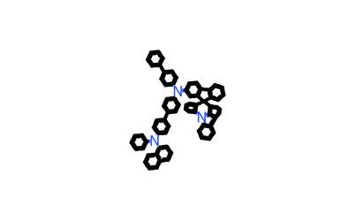 c1ccc(-c2ccc(N(c3ccc(-c4ccc(N(c5ccccc5)c5cccc6ccccc56)cc4)cc3)c3ccc4c(c3)C3(c5ccccc5-4)c4ccccc4-n4c5ccccc5c5cccc3c54)cc2)cc1